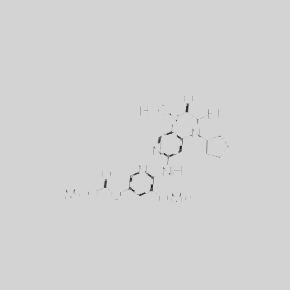 CCC1C(=O)N(C)c2cnc(Nc3ncc(OC(=O)OC)cc3OC)cc2N1C1CCCC1